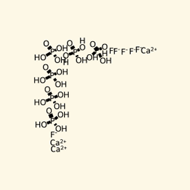 O=P(O)(O)O.O=P(O)(O)O.O=P(O)(O)O.O=P(O)(O)O.O=P(O)(O)O.O=P(O)(O)O.[Ca+2].[Ca+2].[Ca+2].[F-].[F-].[F-].[F-].[F-].[F-]